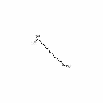 CCCCC(C)CCCCCCCCCCCOS(=O)(=O)O